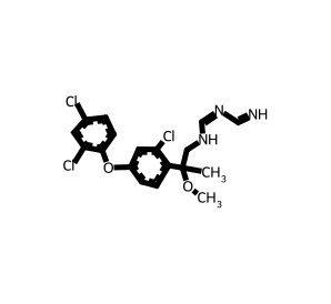 COC(C)(CN/C=N\C=N)c1ccc(Oc2ccc(Cl)cc2Cl)cc1Cl